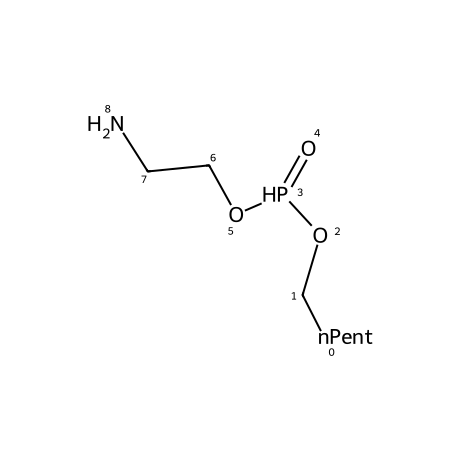 CCCCCCO[PH](=O)OCCN